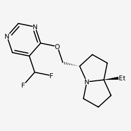 CC[C@@]12CCCN1[C@H](COc1ncncc1C(F)F)CC2